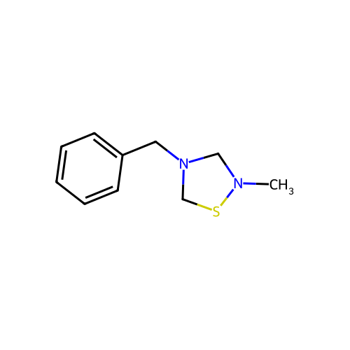 CN1CN(Cc2ccccc2)CS1